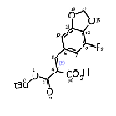 CC(C)(C)OC(=O)/C(=C/c1cc(F)c2c(c1)OCO2)C(=O)O